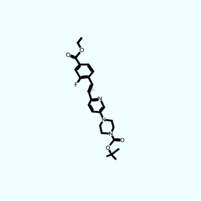 CCOC(=O)c1ccc(/C=C/c2ccc(N3CCN(C(=O)OC(C)(C)C)CC3)cn2)c(F)c1